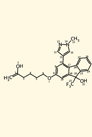 C=C(O)CCCCOc1cc(-c2cnn(C)c2)c2c(c1)C(O)(C(F)(F)F)c1ccccc1-2